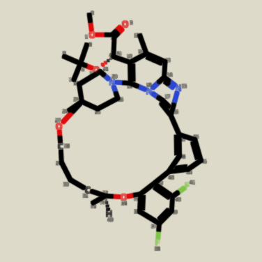 COC(=O)[C@@H](OC(C)(C)C)c1c(C)cc2nc3cn2c1N1CCC(C)(CC1)OCCCC[C@H](C)Oc1cc(F)cc(F)c1-c1cccc-3c1